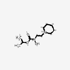 CC(C)OC(=O)N(O)CCN1CCCCC1